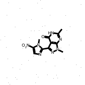 Cc1nc2c(c(-c3ncc([N+](=O)[O-])n3C)nn2C)c(=O)[nH]1